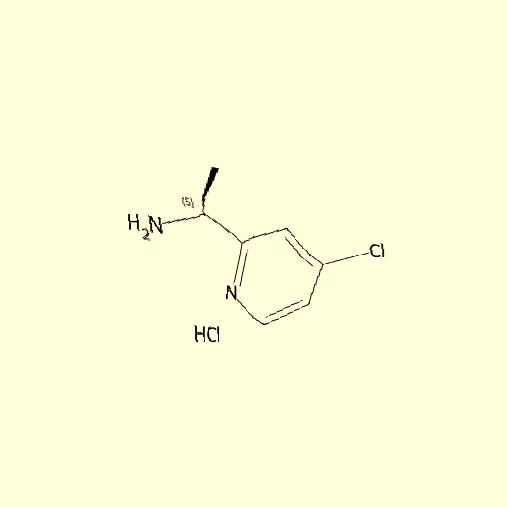 C[C@H](N)c1cc(Cl)ccn1.Cl